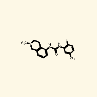 CN1CCc2c(cccc2NC(=O)Nc2cc(C(F)(F)F)ccc2Cl)C1